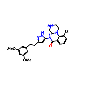 CCc1cccc(C(=O)Nc2cc(CCc3cc(OC)cc(OC)c3)n[nH]2)c1N1CCNCC1